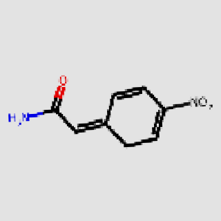 NC(=O)C=C1C=CC([N+](=O)[O-])=CC1